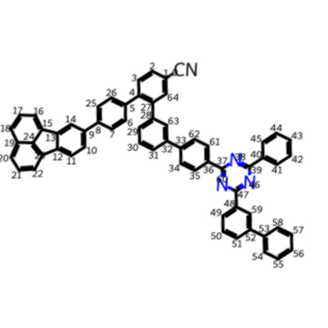 N#Cc1ccc(-c2ccc(-c3ccc4c(c3)-c3cccc5cccc-4c35)cc2)c(-c2cccc(-c3ccc(-c4nc(-c5ccccc5)nc(-c5cccc(-c6ccccc6)c5)n4)cc3)c2)c1